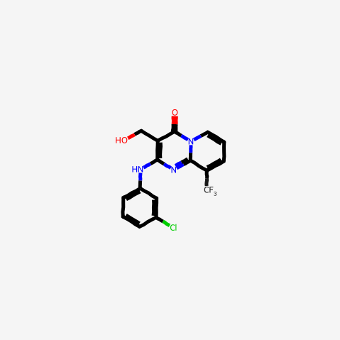 O=c1c(CO)c(Nc2cccc(Cl)c2)nc2c(C(F)(F)F)cccn12